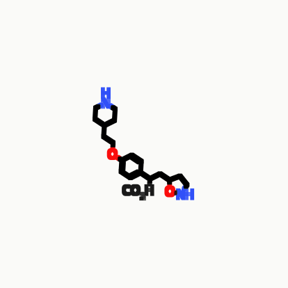 O=C(O)C(CC1CCNO1)c1ccc(OCCC2CCNCC2)cc1